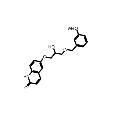 COc1cccc(CNCC(O)COc2ccc3[nH]c(=O)ccc3c2)c1